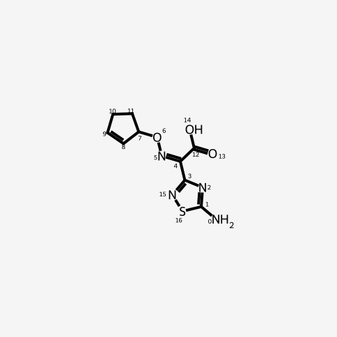 Nc1nc(C(=NOC2C=CCC2)C(=O)O)ns1